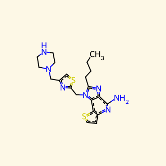 CCCCc1nc2c(N)nc3ccsc3c2n1Cc1nc(CN2CCNCC2)cs1